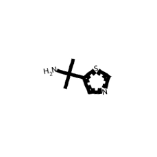 CC(C)(N)c1cn[c]s1